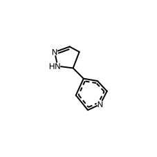 C1=NNC(c2ccncc2)C1